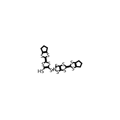 SC1=C(SN2SC3=C(SC(=C4SC5=C(CCC5)S4)S3)S2)SC(=C2SC3=C(CCC3)S2)S1